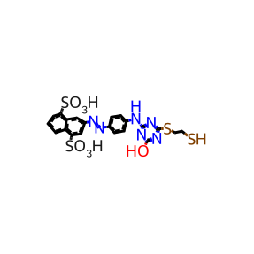 O=S(=O)(O)c1cc(/N=N/c2ccc(Nc3nc(O)nc(SCCS)n3)cc2)cc2c(S(=O)(=O)O)cccc12